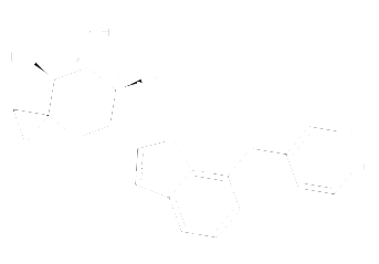 C/C=C(\C=C/CC)Cc1cccc2cc([C@@H]3OC4(CC4)[C@@H](O)[C@H](O)[C@H]3O)sc12